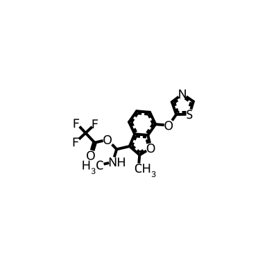 CNC(OC(=O)C(F)(F)F)c1c(C)oc2c(Oc3cncs3)cccc12